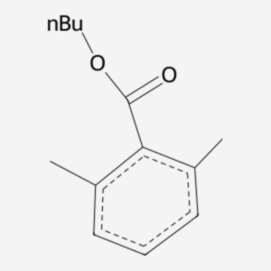 CCCCOC(=O)c1c(C)cccc1C